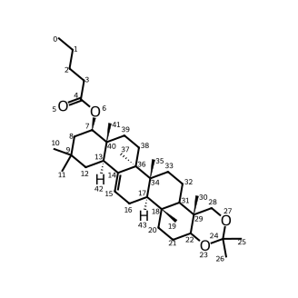 CCCCC(=O)O[C@@H]1CC(C)(C)C[C@@H]2C3=CC[C@@H]4[C@@]5(C)CCC6OC(C)(C)OC[C@@]6(C)C5CC[C@@]4(C)[C@]3(C)CC[C@]21C